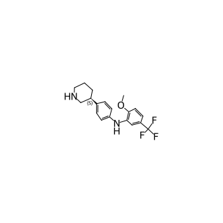 COc1ccc(C(F)(F)F)cc1Nc1ccc([C@@H]2CCCNC2)cc1